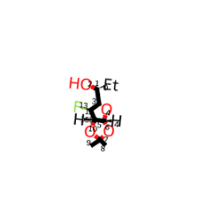 CC[C@@H](O)[C@@H]1O[C@@H]2OC(C)(C)O[C@@H]2[C@H]1F